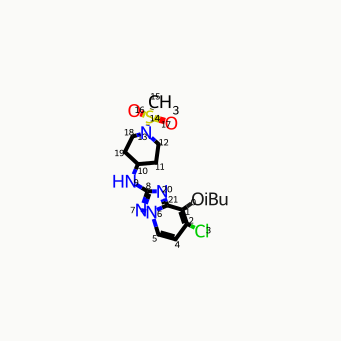 CC(C)COc1c(Cl)ccn2nc(NC3CCN(S(C)(=O)=O)CC3)nc12